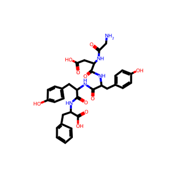 NCC(=O)NC(CC(=O)O)C(=O)NC(Cc1ccc(O)cc1)C(=O)NC(Cc1ccc(O)cc1)C(=O)NC(Cc1ccccc1)C(=O)O